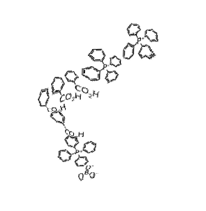 O=C(O)c1ccccc1.O=C(O)c1ccccc1.O=C(O)c1ccccc1.O=C(O)c1ccccc1.[O-]B([O-])[O-].c1ccc([P+](c2ccccc2)(c2ccccc2)c2ccccc2)cc1.c1ccc([P+](c2ccccc2)(c2ccccc2)c2ccccc2)cc1.c1ccc([P+](c2ccccc2)(c2ccccc2)c2ccccc2)cc1